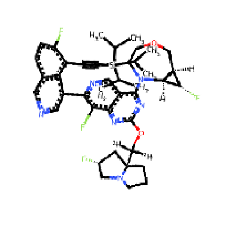 [2H]C([2H])(Oc1nc(N2CCOC[C@H]3[C@H](F)[C@H]32)c2cnc(-c3cncc4ccc(F)c(C#C[Si](C(C)C)(C(C)C)C(C)C)c34)c(F)c2n1)[C@@]12CCCN1C[C@H](F)C2